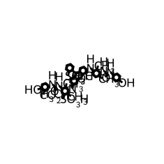 Cc1cc(C)c(Nc2ccc3c(-c4ccccc4S(=O)(=O)O)c4cc/c(=N\c5c(C)c(NC(=O)Nc6ccc(O)c(C(=O)O)c6)c(C)c(S(=O)(=O)O)c5C)cc-4oc3c2)c(C)c1NC(=O)Nc1ccc(O)cc1